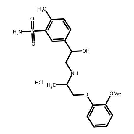 COc1ccccc1OCC(C)NCC(O)c1ccc(C)c(S(N)(=O)=O)c1.Cl